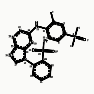 Cc1cc(P(C)(C)=O)ccc1Nc1nnc2ncn(-c3ccccc3S(=O)(=O)C(C)C)c2n1